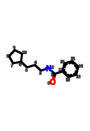 O=C([N]CCCC1CCCC1)c1ccccc1